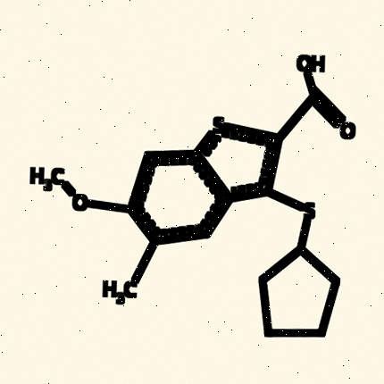 COc1cc2sc(C(=O)O)c(SC3CCCC3)c2cc1C